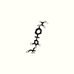 CC(O)(CCl)COc1c(Cl)cc(C(C)(C)c2ccc(NC(=O)C(=O)C(F)(F)F)cc2)cc1Cl